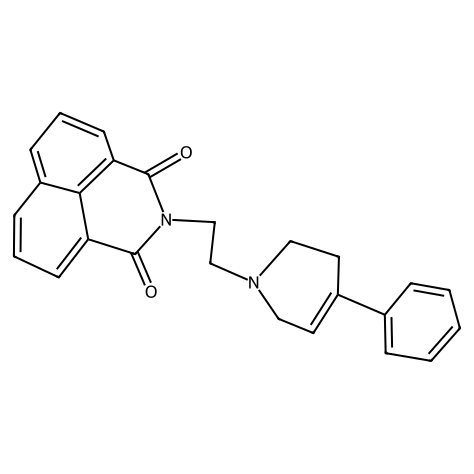 O=C1c2cccc3cccc(c23)C(=O)N1CCN1CC=C(c2ccccc2)CC1